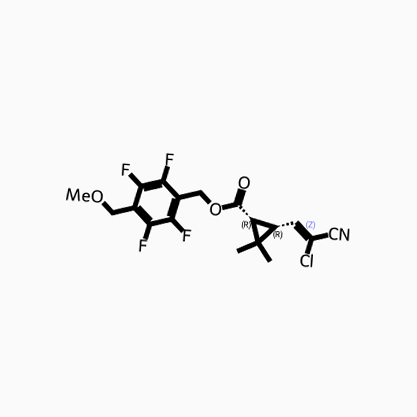 COCc1c(F)c(F)c(COC(=O)[C@@H]2[C@H](/C=C(\Cl)C#N)C2(C)C)c(F)c1F